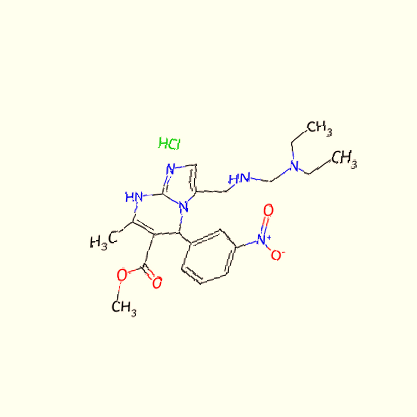 CCN(CC)CNCc1cnc2n1C(c1cccc([N+](=O)[O-])c1)C(C(=O)OC)=C(C)N2.Cl